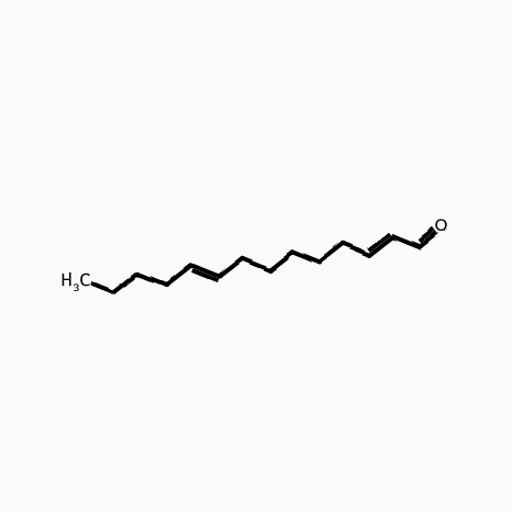 CCCC/C=C/CCCCC/C=C/C=O